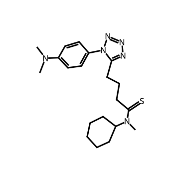 CN(C)c1ccc(-n2nnnc2CCCC(=S)N(C)C2CCCCC2)cc1